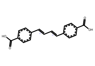 O=C(O)c1ccc(/C=C/C=C/c2ccc(C(=O)O)cc2)cc1